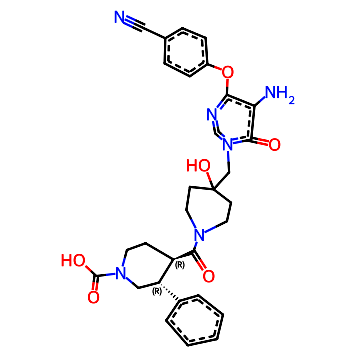 N#Cc1ccc(Oc2ncn(CC3(O)CCN(C(=O)[C@@H]4CCN(C(=O)O)C[C@H]4c4ccccc4)CC3)c(=O)c2N)cc1